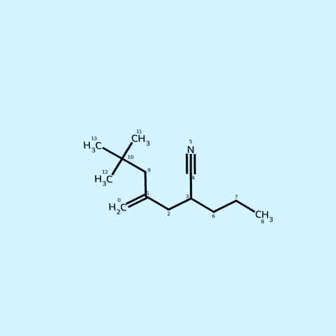 C=C(CC(C#N)CCC)CC(C)(C)C